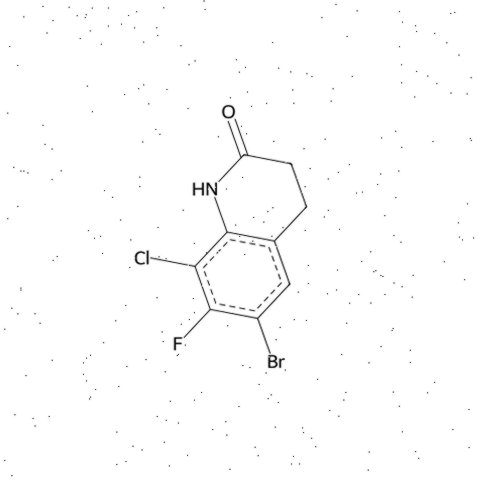 O=C1CCc2cc(Br)c(F)c(Cl)c2N1